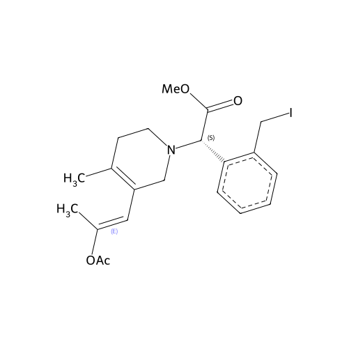 COC(=O)[C@H](c1ccccc1CI)N1CCC(C)=C(/C=C(\C)OC(C)=O)C1